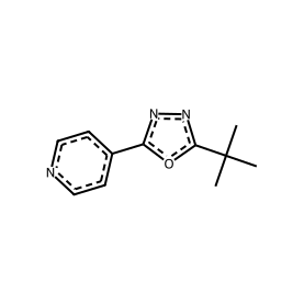 CC(C)(C)c1nnc(-c2ccncc2)o1